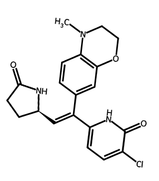 CN1CCOc2cc(/C(=C\[C@H]3CCC(=O)N3)c3ccc(Cl)c(=O)[nH]3)ccc21